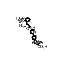 Cc1c(C(=O)Nc2ccc(-c3ccc(S(=O)(=O)N[C@H](C(=O)O)C(C)C)cc3)nc2)oc2cccc(NS(C)(=O)=O)c12